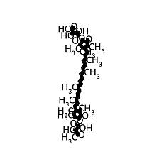 CC(=O)C(O)C(O)C(=O)OC1CC(C)(C)C(/C=C/C(C)=C/C=C/C(C)=C/C=C/C=C(C)/C=C/C=C(C)/C=C/C2=C(C)C(=O)C(OC(=O)C(O)C(O)C(=O)O)CC2(C)C)=C(C)C1=O